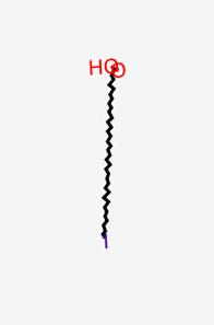 O=C(O)CCCCCCCCCCCCCCCCCCCCCCCCCCCCCCCCCCCI